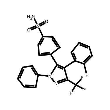 NS(=O)(=O)c1ccc(-c2c(-c3ccccc3F)c(C(F)(F)F)nn2-c2ccccc2)cc1